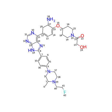 CC1CN(c2ccc(-c3nc4c(C5=CC=C(OC6CCN(C(=O)CO)CC6)C(N)C5)ncnc4[nH]3)cc2)CCN1CCF